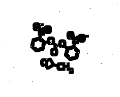 CC1COC1.O=C(Oc1ccccc1[N+](=O)[O-])Oc1ccccc1[N+](=O)[O-]